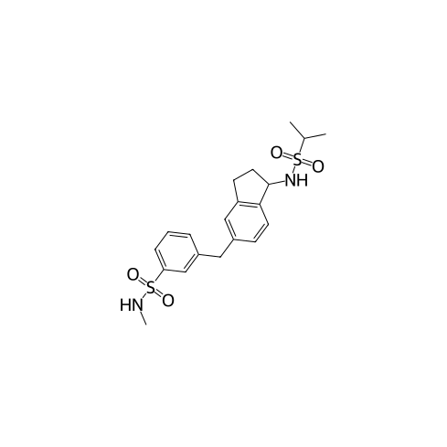 CNS(=O)(=O)c1cccc(Cc2ccc3c(c2)CCC3NS(=O)(=O)C(C)C)c1